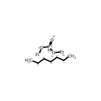 CCCCCCC.CCO[PH](=O)OCC